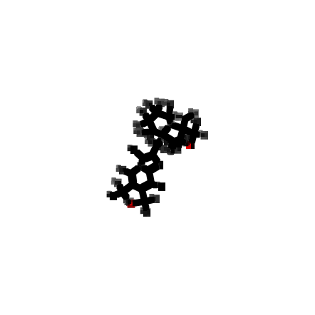 [2H]CC(N1C([2H])([2H])C([2H])([2H])C([2H])([2H])C([2H])([2H])[C@@]1(C(=O)O)C([2H])([2H])c1nc2c([2H])c(C([2H])([2H])[2H])c(C([2H])([2H])[2H])c([2H])n2c1[2H])(C([2H])([2H])[2H])C([2H])([2H])[2H]